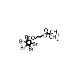 C=C(C)C(=O)OCCCCOc1c(Br)c(Br)c(Br)c(Br)c1Br